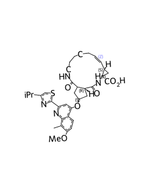 COc1ccc2c(O[C@H]3CC4C(=O)NCCCCC/C=C\[C@@H]5C[C@@]5(C(=O)O)NC(=O)[C@@H]4C3)cc(-c3nc(C(C)C)cs3)nc2c1C